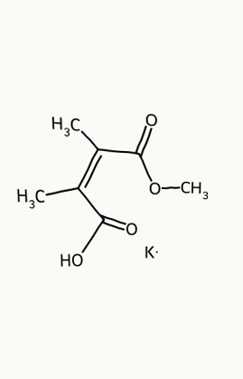 COC(=O)C(C)=C(C)C(=O)O.[K]